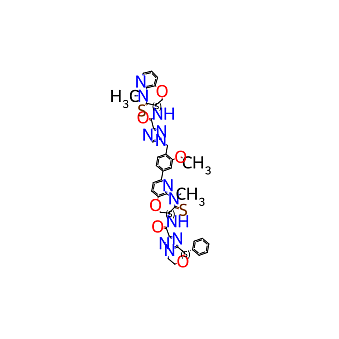 COc1cc(-c2ccc3c(n2)N(C)C(=S)[C@@H](NC(=O)c2nc4n(n2)CCO[C@H]4c2ccccc2)CO3)ccc1Cn1cnc(C(=O)N[C@H]2COc3cccnc3N(C)C2=S)n1